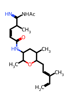 C=C/C(C)=C/CC1OC(C)C(NC(=O)/C=C\C(C)C(=N)NC(C)=O)CC1C